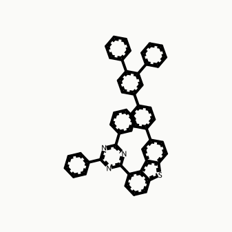 c1ccc(-c2nc(-c3ccccc3)nc(-c3cccc4sc5ccc(-c6ccc(-c7ccc(-c8ccccc8)c(-c8ccccc8)c7)cc6)cc5c34)n2)cc1